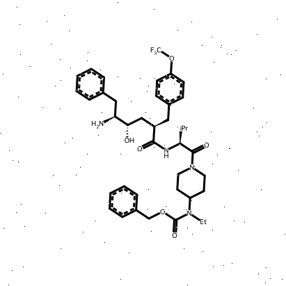 CCN(C(=O)OCc1ccccc1)C1CCN(C(=O)[C@@H](NC(=O)[C@H](Cc2ccc(OC(F)(F)F)cc2)C[C@H](O)[C@@H](N)Cc2ccccc2)C(C)C)CC1